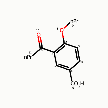 CCCOc1ccc(C(=O)O)cc1C(=O)CCC